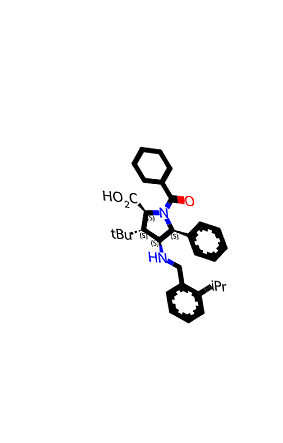 CC(C)c1ccccc1CN[C@H]1[C@H](C(C)(C)C)[C@@H](C(=O)O)N(C(=O)C2CCCCC2)[C@H]1c1ccccc1